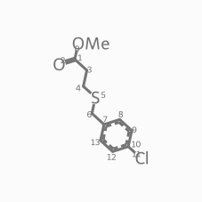 COC(=O)CCSCc1ccc(Cl)cc1